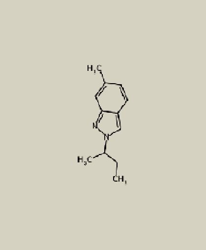 CCC(C)n1cc2ccc(C)cc2n1